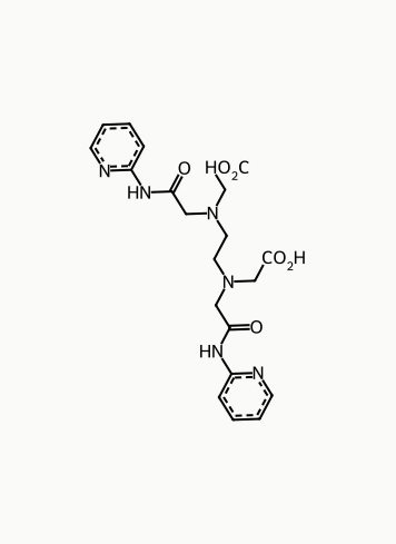 O=C(O)CN(CCN(CC(=O)O)CC(=O)Nc1ccccn1)CC(=O)Nc1ccccn1